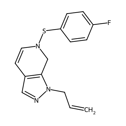 C=CCn1ncc2c1CN(Sc1ccc(F)cc1)C=C2